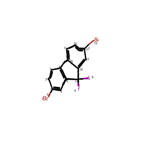 Brc1ccc2c(c1)C(I)(I)c1cc(Br)ccc1-2